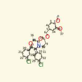 COc1ccc(COCC[C@H](C)N2C(=O)[C@@H](C)O[C@H](c3cccc(Cl)c3)[C@H]2c2ccc(Cl)cc2)cc1OC